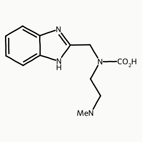 CNCCN(Cc1nc2ccccc2[nH]1)C(=O)O